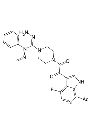 C=NN(/C(=N\N)N1CCN(C(=O)C(=O)c2c[nH]c3c(C(C)=O)ncc(F)c23)CC1)c1ccccc1